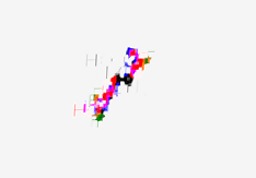 Cc1c(-c2nc3cc(CNCC4(CO)CC(F)(F)C4)c(OC(F)F)cc3o2)cccc1-c1cccc(-c2nc3cc(CN4CCC[C@H]4C(=O)O)c(OC(F)F)cc3o2)c1C